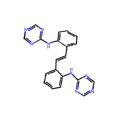 C(=C\c1ccccc1Nc1ncncn1)/c1ccccc1Nc1ncncn1